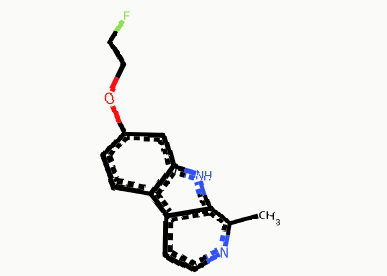 Cc1nccc2c1[nH]c1cc(OCCF)ccc12